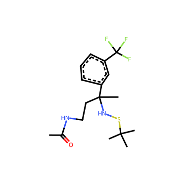 CC(=O)NCCC(C)(NSC(C)(C)C)c1cccc(C(F)(F)F)c1